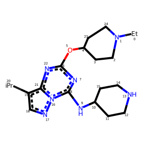 CCN1CCC(Oc2nc(NC3CCNCC3)n3ncc(C(C)C)c3n2)CC1